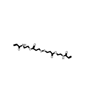 C=CC(=O)NCCOC(=O)CCSSCCC(=O)OCCNC(=O)C=C